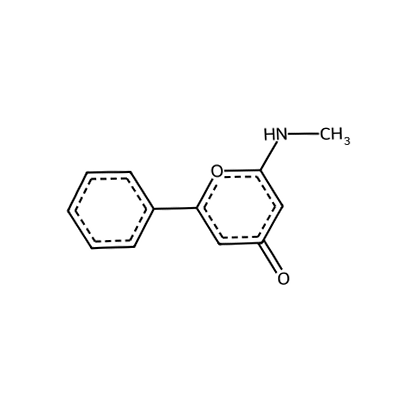 CNc1cc(=O)cc(-c2ccccc2)o1